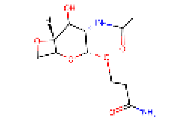 CC(=O)N[C@H]1C(O)[C@H]2OCC2O[C@H]1OCCC(N)=O